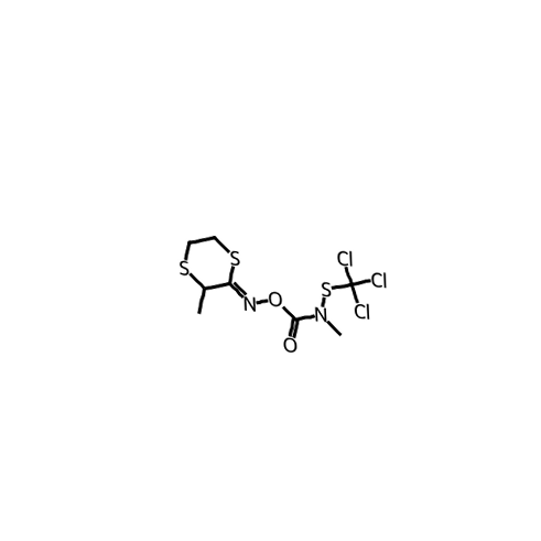 CC1SCCSC1=NOC(=O)N(C)SC(Cl)(Cl)Cl